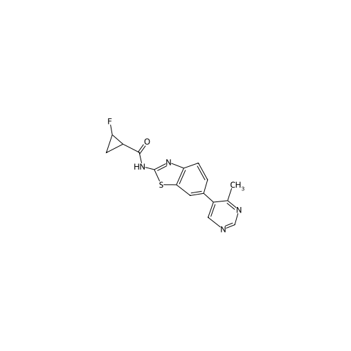 Cc1ncncc1-c1ccc2nc(NC(=O)C3CC3F)sc2c1